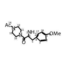 COc1ccc(CC(N)C(=O)N2CCN(C(C)=O)CC2)cc1